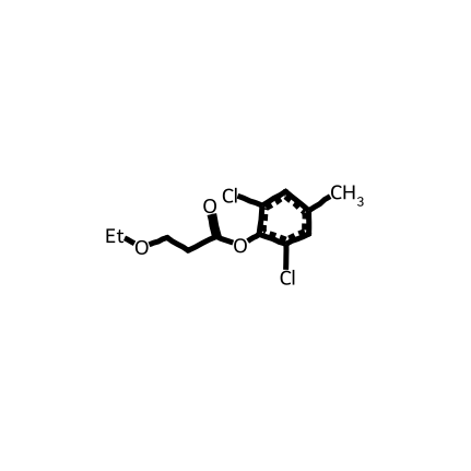 CCOCCC(=O)Oc1c(Cl)cc(C)cc1Cl